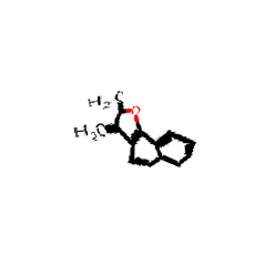 C=c1oc2c(ccc3ccccc32)c1=C